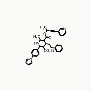 CCOC(=O)C1=C(c2ccc(-n3ccnc3)cc2)NC(C)=C(C(=O)OC(C)C#Cc2cccnc2)C1CCc1ccccc1